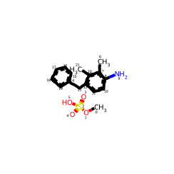 COS(=O)(=O)O.Cc1c(N)ccc(Cc2ccccc2)c1C